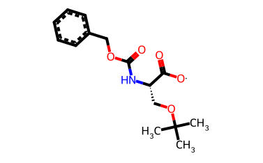 CC(C)(C)OC[C@H](NC(=O)OCc1ccccc1)C([O])=O